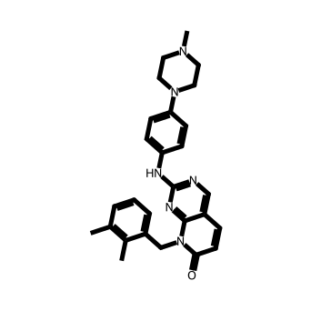 Cc1cccc(Cn2c(=O)ccc3cnc(Nc4ccc(N5CCN(C)CC5)cc4)nc32)c1C